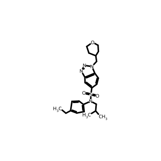 CCc1ccc(N(CC(C)C)S(=O)(=O)c2ccc3c(c2)nnn3CC2CCOCC2)cc1